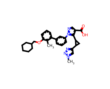 Cc1c(OCC2CCCCC2)cccc1-c1cccc(-n2ncc(C(=O)O)c2C2CC2c2cn(C)nn2)c1